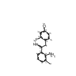 Cc1cccc(C(=N)Cc2ccc(Cl)cc2F)c1N